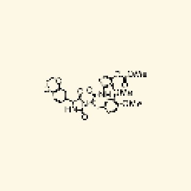 COC(=O)Oc1csc(NC(=O)[C@H](Cc2ccc(OC)c(OC)c2)N2C(=O)NC(c3ccc4c(c3)OCCO4)C2=O)n1